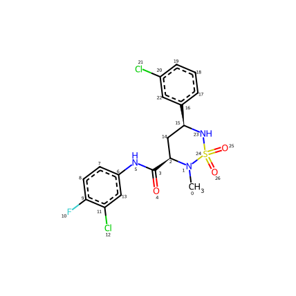 CN1[C@@H](C(=O)Nc2ccc(F)c(Cl)c2)C[C@@H](c2cccc(Cl)c2)NS1(=O)=O